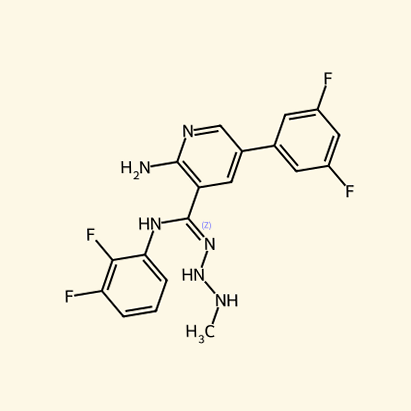 CNN/N=C(\Nc1cccc(F)c1F)c1cc(-c2cc(F)cc(F)c2)cnc1N